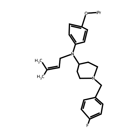 CC(C)=CCN(c1ccc(OC(C)C)cc1)C1CCN(Cc2ccc(F)cc2)CC1